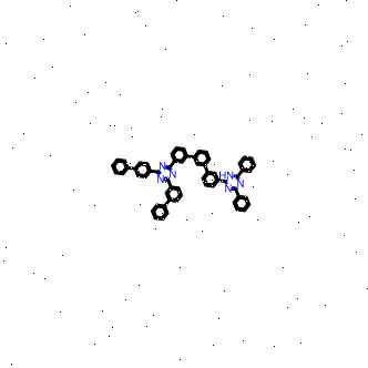 c1ccc(C2=NC(c3cccc(-c4cccc(-c5cccc(-c6nc(-c7ccc(-c8ccccc8)cc7)nc(-c7cccc(-c8ccccc8)c7)n6)c5)c4)c3)NC(c3ccccc3)=N2)cc1